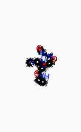 CN(CCCN1CCOCC1)C(=O)c1cccc(C(=O)Nc2ccc(N3CCCCC3)cc2-c2cc(C(=O)N[C@H]3CCCc4ccccc43)ccn2)c1